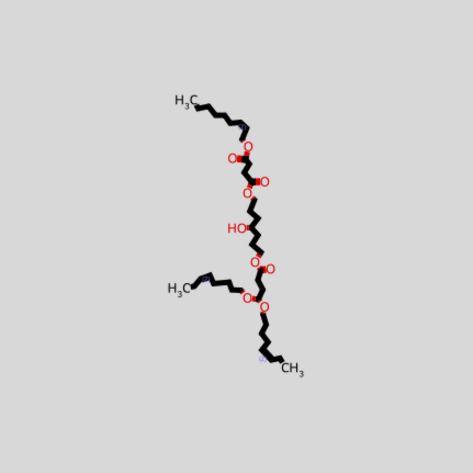 CC/C=C\CCCCOC(CCC(=O)OCCCC(O)CCCOC(=O)CCC(=O)OC/C=C\CCCCCC)OCCCC/C=C\CC